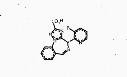 O=C(O)c1nc2n(n1)-c1ccccc1C=NC2c1ncccc1F